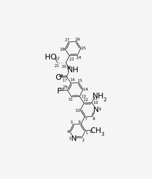 Cc1cnccc1-c1cnc(N)c(-c2ccc(C(=O)N[C@H](CO)c3ccccc3)c(F)c2)c1